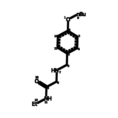 CCCCOc1ccc(CNCC(=O)NCC)cc1